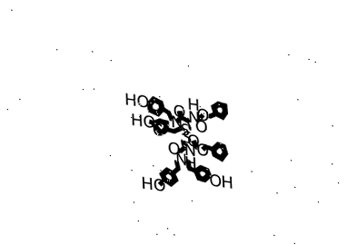 O=C(NC(CSSC[C@H](NC(=O)OCc1ccccc1)C(=O)N(CCc1ccc(O)cc1)CCc1ccc(O)cc1)C(=O)N(CCc1ccc(O)cc1)CCc1ccc(O)cc1)OCc1ccccc1